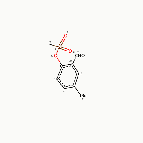 CC(C)(C)c1ccc(OS(C)(=O)=O)c(C=O)c1